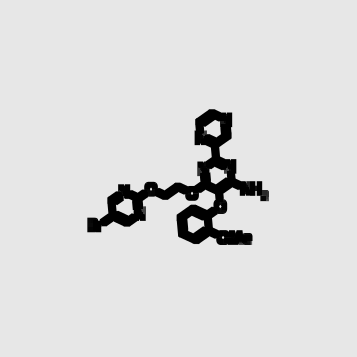 COc1ccccc1Oc1c(N)nc(-c2cnccn2)nc1OCCOc1ncc(Br)cn1